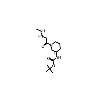 CNNCC(=O)N1CCC[C@@H](NC(=O)OC(C)(C)C)C1